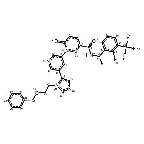 C[C@@H](NC(=O)c1ccc(=O)n(-c2cncc(-c3cnnn3CCOCc3ccccc3)c2)n1)c1cccc(C(F)(F)F)c1F